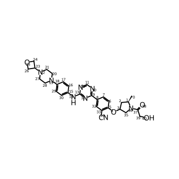 C[C@@H]1CC(Oc2ccc(-c3ncnc(Nc4ccc(N5CCN(C6COC6)CC5)cc4)n3)cc2C#N)CN1C(=O)CO